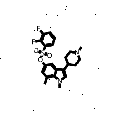 Cc1cc(OS(=O)(=O)c2cccc(F)c2F)cc2c(C3CCN(C)CC3)cn(C)c12